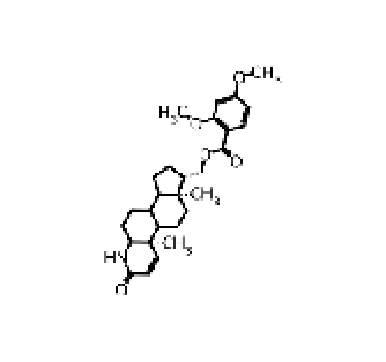 COc1ccc(C(=O)OC[C@H]2CCC3C4CCC5NC(=O)C=C[C@]5(C)C4CC[C@@]32C)c(OC)c1